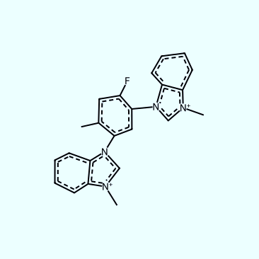 Cc1cc(F)c(-n2c[n+](C)c3ccccc32)cc1-n1c[n+](C)c2ccccc21